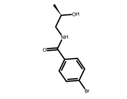 C[C@@H](O)CNC(=O)c1ccc(Br)cc1